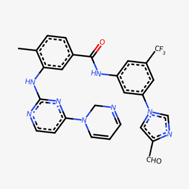 Cc1ccc(C(=O)Nc2cc(-n3cnc(C=O)c3)cc(C(F)(F)F)c2)cc1Nc1nccc(N2C=CC=NC2)n1